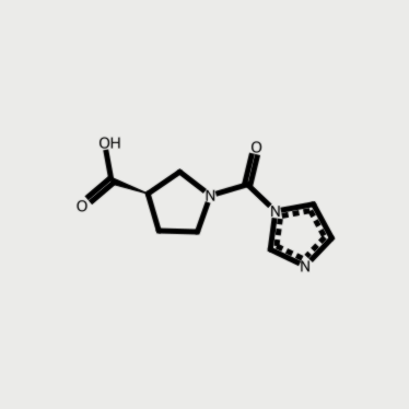 O=C(O)[C@@H]1CCN(C(=O)n2ccnc2)C1